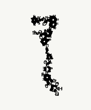 Cc1c(OCCC[C@H]2CCN(CC(=O)N3CCN(c4cc5c(cc4F)C(=O)N(C4CCC(=O)NC4=O)C5=O)CC3)C2)cccc1-c1ccc(N2CCc3cccc(C(=O)Nc4nc5ccccc5s4)c3C2)nc1C(=O)OC(C)(C)C